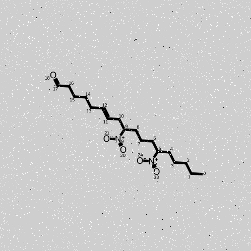 CCCCCC(CCCC(CC=CCCCC[C]=O)[N+](=O)[O-])[N+](=O)[O-]